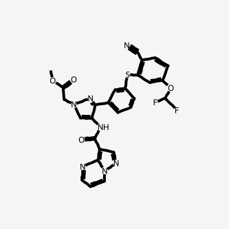 COC(=O)Cn1cc(NC(=O)c2cnn3cccnc23)c(-c2cccc(Sc3cc(OC(F)F)ccc3C#N)c2)n1